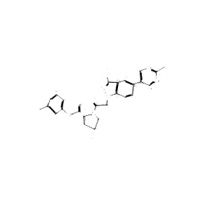 CC(=O)c1nn(CC(=O)N2C[C@H](F)C[C@H]2C(=O)Nc2cccc(Cl)c2)c2ccc(-c3cnc(C)nc3)cc12